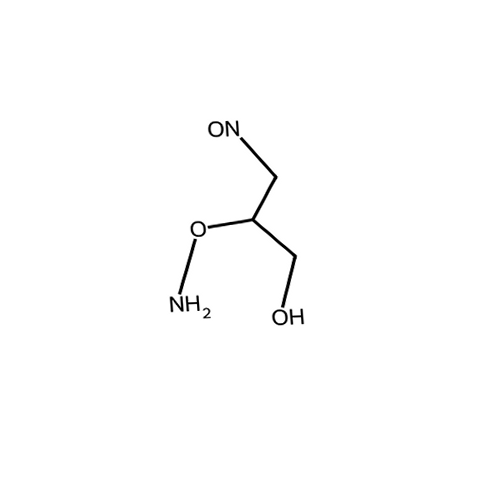 NOC(CO)CN=O